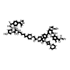 Cc1cc(F)c(Nc2nc(-c3ccc4c(c3)N([C@H]3C[C@@H](N5CCCCC5)C3)C(=O)C43CCN(C(=O)CN4CCC(CCCCC(=O)NC(C(=O)N5C[C@H](O)C[C@H]5NN[C@@H](C)c5ccc(-c6scnc6C)cc5)C(C)(C)C)CC4)CC3)cc3ncn(C(C)C)c23)cc1C(=O)NC(C)C